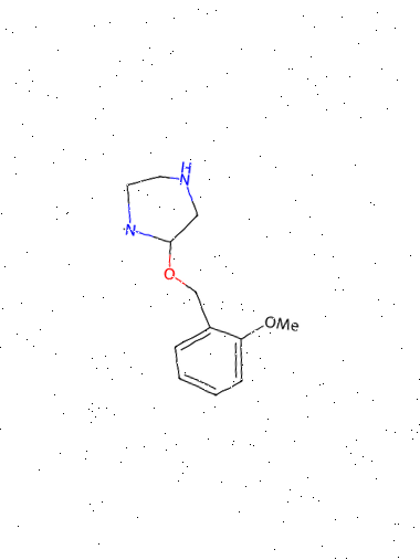 COc1ccccc1COC1CNCC[N]1